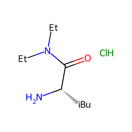 CCC(C)[C@H](N)C(=O)N(CC)CC.Cl